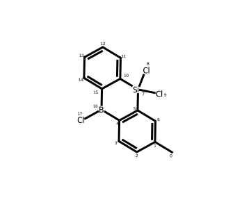 Cc1ccc2c(c1)[Si](Cl)(Cl)c1ccccc1B2Cl